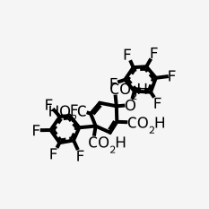 O=C(O)C1=CC(C(=O)O)(c2c(F)c(F)c(F)c(F)c2F)C(C(=O)O)=CC1(Oc1c(F)c(F)c(F)c(F)c1F)C(=O)O